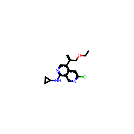 C=C(COCC)c1cnc(NC2CC2)c2cnc(Cl)cc12